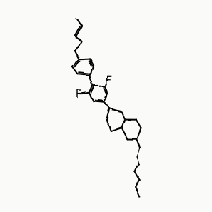 CC=CCCc1ccc(-c2c(F)cc(C3CCC4CC(CCCCCCC)CCC4C3)cc2F)cc1